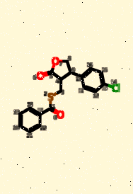 O=C(SCC1C(=O)OCC1c1ccc(Cl)cc1)c1ccccc1